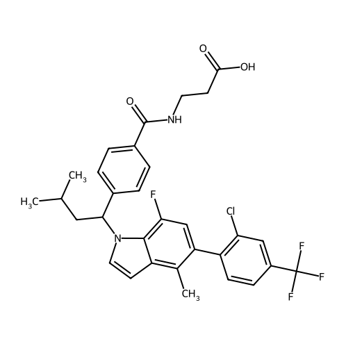 Cc1c(-c2ccc(C(F)(F)F)cc2Cl)cc(F)c2c1ccn2C(CC(C)C)c1ccc(C(=O)NCCC(=O)O)cc1